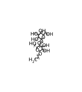 C=CCO[C@H]1O[C@H](CO)[C@@H](OOC2O[C@H](CO)[C@@H](O)[C@H](O)[C@H]2O)[C@H](O)[C@H]1O